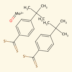 CC(C)(C)c1ccc(C(=S)[S-])cc1.CC(C)(C)c1ccc(C(=S)[S-])cc1.[O]=[Mo+2]